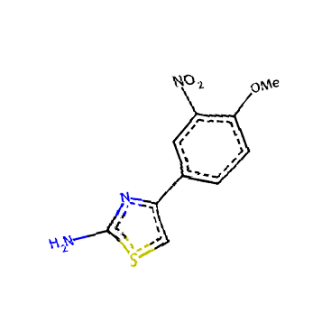 COc1ccc(-c2csc(N)n2)cc1[N+](=O)[O-]